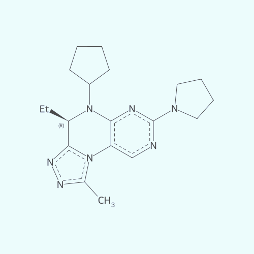 CC[C@@H]1c2nnc(C)n2-c2cnc(N3CCCC3)nc2N1C1CCCC1